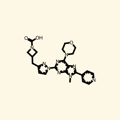 Cn1c(-c2ccncc2)nc2c(N3CCOCC3)nc(-n3ccc(CC4CN(C(=O)O)C4)n3)nc21